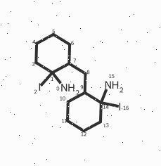 NC1(I)CCCCC1CC1CCCCC1(N)I